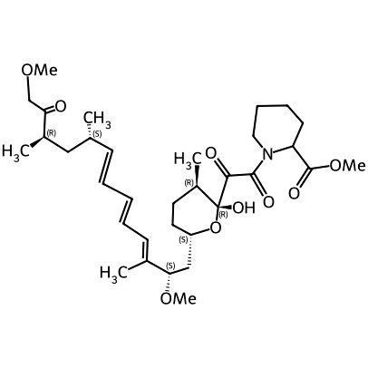 COCC(=O)[C@H](C)C[C@H](C)C=CC=CC=C(C)[C@H](C[C@@H]1CC[C@@H](C)[C@](O)(C(=O)C(=O)N2CCCCC2C(=O)OC)O1)OC